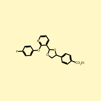 CCOC(=O)c1ccc(C2COC(c3cccnc3Oc3ccc(F)cc3)O2)cc1